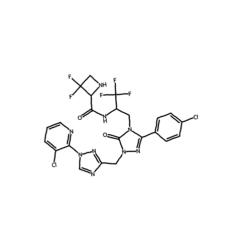 O=C(NC(Cn1c(-c2ccc(Cl)cc2)nn(Cc2ncn(-c3ncccc3Cl)n2)c1=O)C(F)(F)F)C1NCC1(F)F